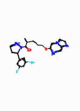 C=C(CCCOc1cn2ccnc2cn1)C(=O)N1N=CCC1c1cc(F)cc(F)c1